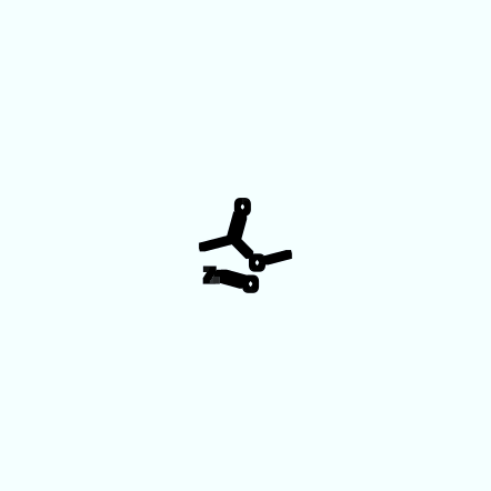 COC(C)=O.[O]=[Zr]